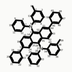 Cc1cccc(N(c2ccccc2)c2c3ccc(-c4ccccc4)cc3c(N(c3ccccc3)c3cccc(C)c3)c3ccc(-c4ccccc4)cc23)c1